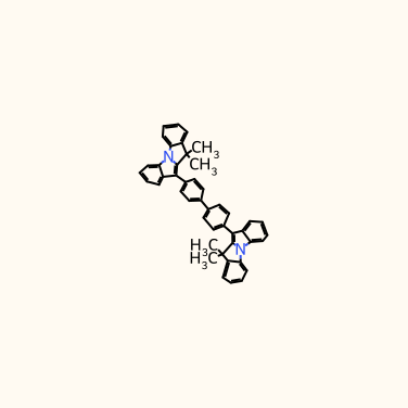 CC1(C)c2ccccc2-n2c1c(-c1ccc(-c3ccc(-c4c5n(c6ccccc46)-c4ccccc4C5(C)C)cc3)cc1)c1ccccc12